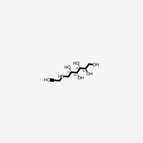 C#CCNC[C@H](O)[C@@H](O)[C@H](O)[C@H](O)CO